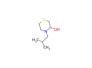 CC(C)CN1CCSCC1O